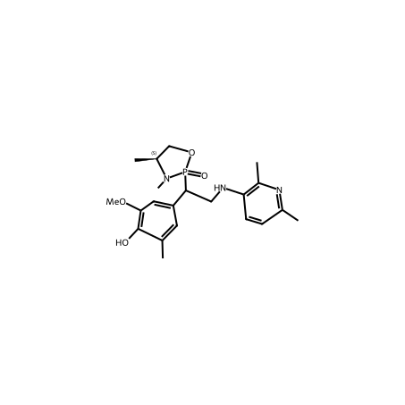 COc1cc(C(CNc2ccc(C)nc2C)P2(=O)OC[C@H](C)N2C)cc(C)c1O